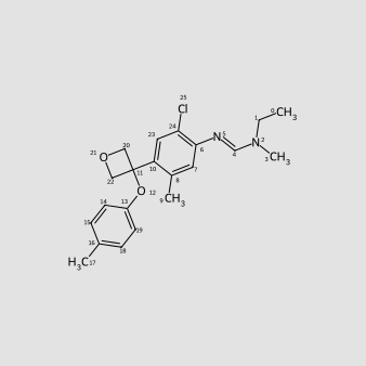 CCN(C)C=Nc1cc(C)c(C2(Oc3ccc(C)cc3)COC2)cc1Cl